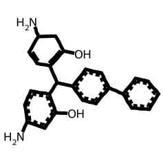 Nc1ccc(C(C2=C(O)CC(N)C=C2)c2ccc(-c3ccccc3)cc2)c(O)c1